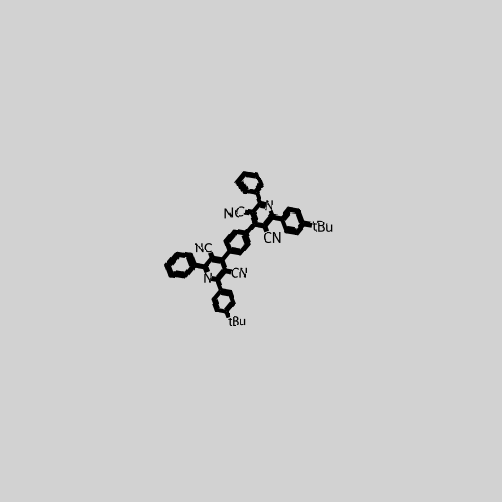 CC(C)(C)c1ccc(-c2nc(-c3ccccc3)c(C#N)c(-c3ccc(-c4c(C#N)c(-c5ccccc5)nc(-c5ccc(C(C)(C)C)cc5)c4C#N)cc3)c2C#N)cc1